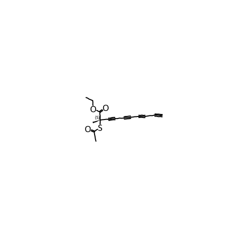 C#CC#CC#CC#C[C@](C)(SC(C)=O)C(=O)OCC